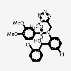 COc1ccc(S(=O)(=O)N(Cc2nnnn2C)c2ccc(Cl)cc2C(O)c2ccccc2Cl)cc1OC